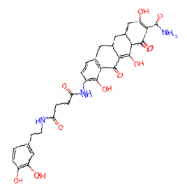 NC(=O)C1=C(O)CC2CC3Cc4ccc(NC(=O)CCC(=O)NCCc5ccc(O)c(O)c5)c(O)c4C(=O)C3=C(O)C2C1=O